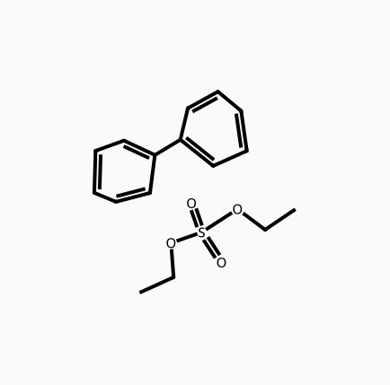 CCOS(=O)(=O)OCC.c1ccc(-c2ccccc2)cc1